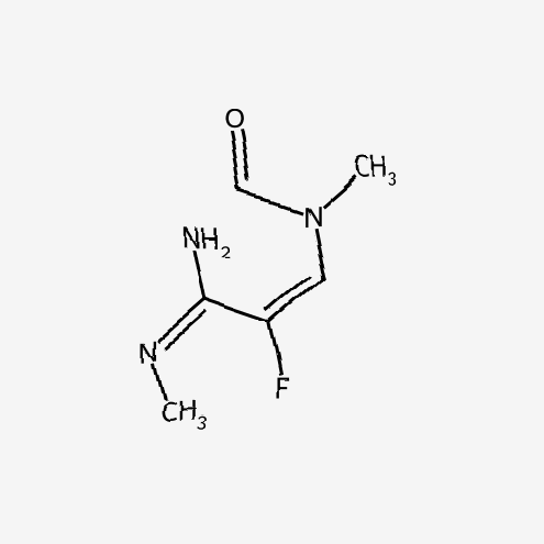 C/N=C(N)\C(F)=C/N(C)C=O